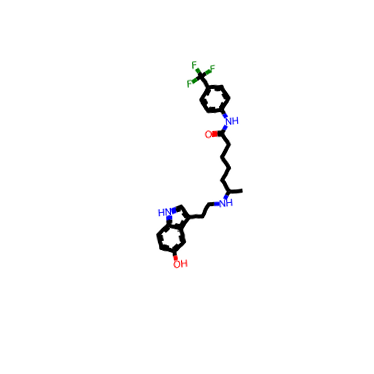 CC(CCCCC(=O)Nc1ccc(C(F)(F)F)cc1)NCCc1c[nH]c2ccc(O)cc12